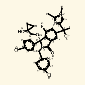 Cc1nc(C(C)(O)c2cc(F)c3c(c2)C(=O)N(Cc2ccc(Cl)cn2)[C@@]3(OCC2(O)CC2)c2ccc(Cl)cc2)cn1C